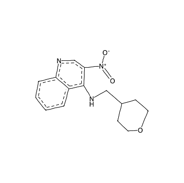 O=[N+]([O-])c1cnc2ccccc2c1NCC1CCOCC1